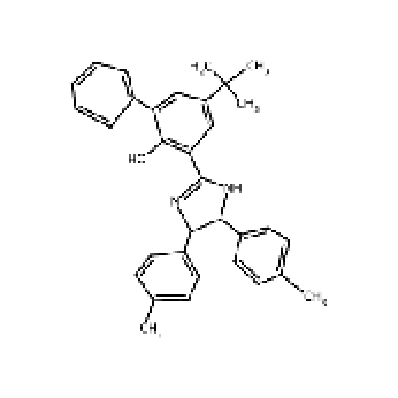 Cc1ccc(C2N=C(c3cc(C(C)(C)C)cc(-c4ccccc4)c3O)NC2c2ccc(C)cc2)cc1